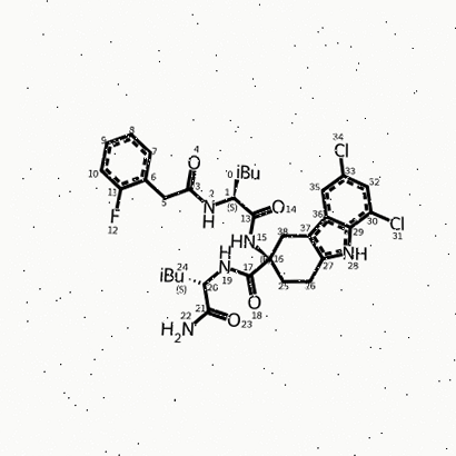 CCC(C)[C@H](NC(=O)Cc1ccccc1F)C(=O)N[C@]1(C(=O)NC(C(N)=O)[C@@H](C)CC)CCc2[nH]c3c(Cl)cc(Cl)cc3c2C1